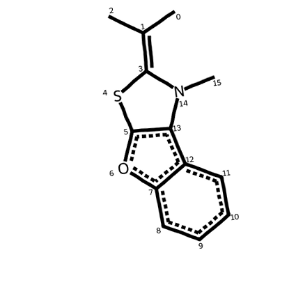 CC(C)=C1Sc2oc3ccccc3c2N1C